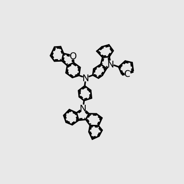 c1ccc(-n2c3ccccc3c3cc(N(c4ccc(-n5c6ccccc6c6c7ccccc7ccc65)cc4)c4ccc5c(c4)oc4ccccc45)ccc32)cc1